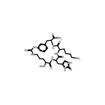 CNC(CCCNC(=N)N)C(=O)NC(Cc1c[nH]c(=S)[nH]1)C(=O)NC(CCCCN)C(=O)NC(Cc1ccccc1)C(N)=O